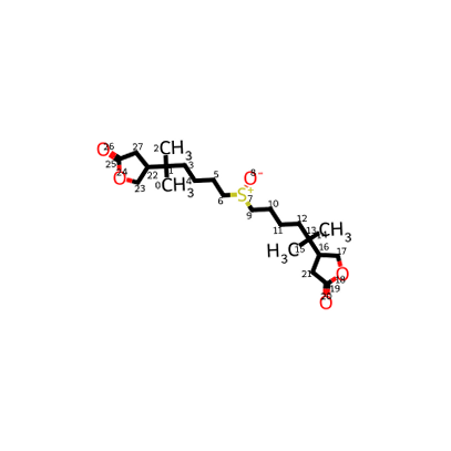 CC(C)(CCCC[S+]([O-])CCCCC(C)(C)C1COC(=O)C1)C1COC(=O)C1